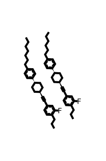 CCCCCCCc1ccc([C@H]2CC[C@H](C#Cc3ccc(CCC)c(F)c3)CC2)cc1.CCCCCCc1ccc([C@H]2CC[C@H](C#Cc3ccc(CCC)c(F)c3)CC2)cc1